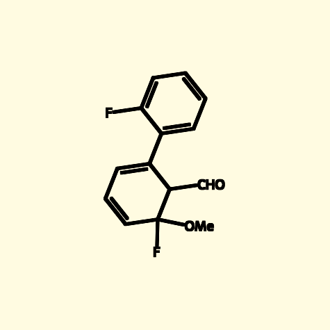 COC1(F)C=CC=C(c2ccccc2F)C1C=O